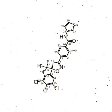 Cc1cc(C2=NOC(c3cc(Cl)c(Cl)c(Cl)c3)(C(F)(F)F)C2)ccc1C(=O)Nc1ccsc1